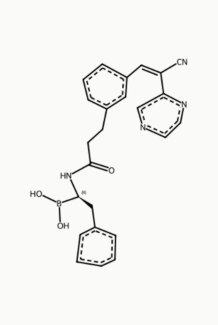 N#CC(=Cc1cccc(CCC(=O)N[C@@H](Cc2ccccc2)B(O)O)c1)c1cnccn1